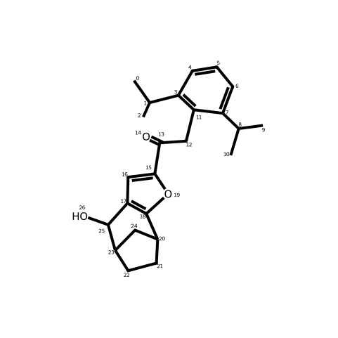 CC(C)c1cccc(C(C)C)c1CC(=O)c1cc2c(o1)C1CCC(C1)C2O